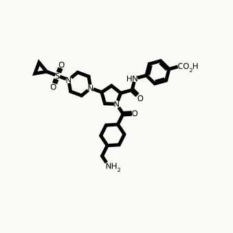 NCC1CCC(C(=O)N2CC(N3CCN(S(=O)(=O)C4CC4)CC3)CC2C(=O)Nc2ccc(C(=O)O)cc2)CC1